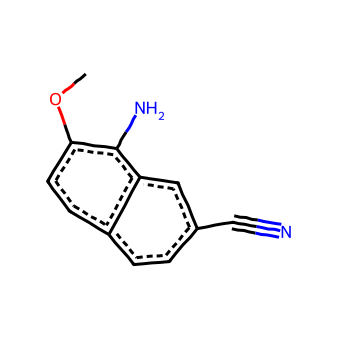 COc1ccc2ccc(C#N)cc2c1N